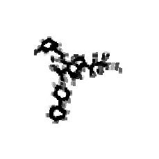 CS(=O)(=O)NC(=O)c1cnn2c(NCc3cccc(F)c3)c(C(=O)N3CCC(c4ccccc4)CC3)cnc12